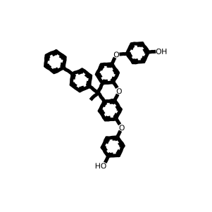 CC1(c2ccc(-c3ccccc3)cc2)c2ccc(Oc3ccc(O)cc3)cc2Oc2cc(Oc3ccc(O)cc3)ccc21